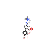 CN1CCN(c2ccc3c(c2)c(=O)oc2cc(O)ccc23)CC1